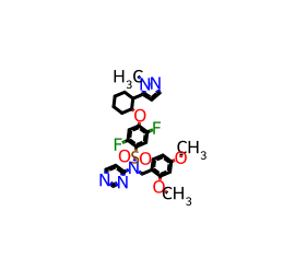 COc1ccc(CN(c2ccncn2)S(=O)(=O)c2cc(F)c(OC3CCCCC3c3ccnn3C)cc2F)c(OC)c1